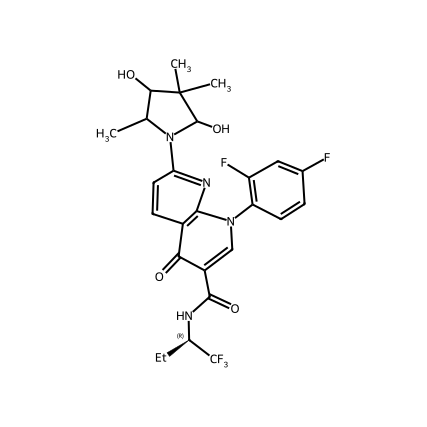 CC[C@@H](NC(=O)c1cn(-c2ccc(F)cc2F)c2nc(N3C(C)C(O)C(C)(C)C3O)ccc2c1=O)C(F)(F)F